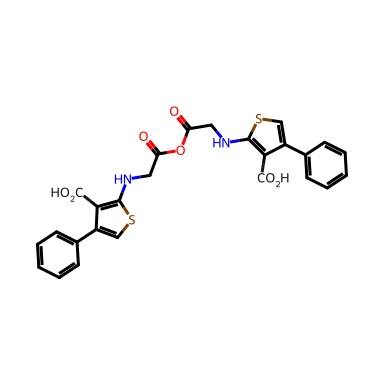 O=C(CNc1scc(-c2ccccc2)c1C(=O)O)OC(=O)CNc1scc(-c2ccccc2)c1C(=O)O